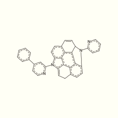 C1=CC2c3c4c(ccc5c4c4c(n(-c6cc(-c7ccccc7)ccn6)c6ccc1c3c46)=CC5)N2c1ccccn1